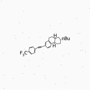 CCCC[C@@H]1CC[C@@H]2c3ccc(C#Cc4ccc(C(F)(F)F)cc4)cc3CC[C@@H]2C1